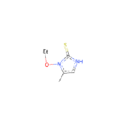 CCOn1c(C)c[nH]c1=S